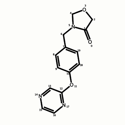 O=C1COCN1Cc1ccc(Oc2cnccn2)cc1